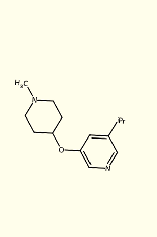 CC(C)c1cncc(OC2CCN(C)CC2)c1